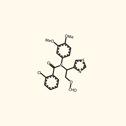 COc1ccc(N(C(=O)c2ccccc2Cl)C(COC=O)c2cscn2)cc1OC